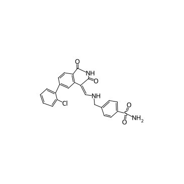 NS(=O)(=O)c1ccc(CNC=C2C(=O)NC(=O)c3ccc(-c4ccccc4Cl)cc32)cc1